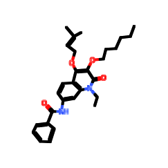 CCCCCCOc1c(OCC=C(C)C)c2ccc(NC(=O)c3ccccc3)cc2n(CC)c1=O